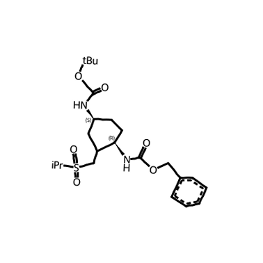 CC(C)S(=O)(=O)CC1C[C@@H](NC(=O)OC(C)(C)C)CC[C@H]1NC(=O)OCc1ccccc1